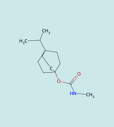 CNC(=O)OC12CCC(C(C)C)(CC1)CC2